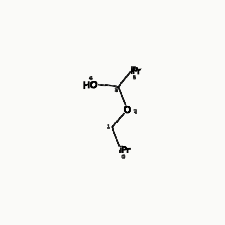 CC(C)COC(O)C(C)C